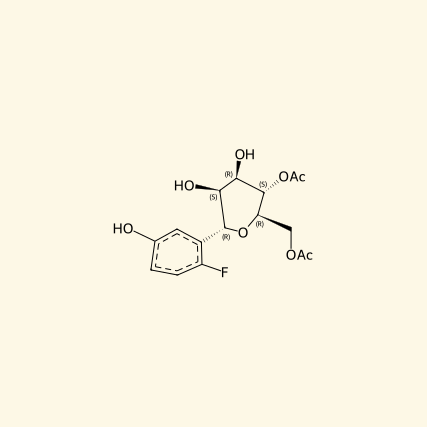 CC(=O)OC[C@H]1O[C@H](c2cc(O)ccc2F)[C@@H](O)[C@@H](O)[C@@H]1OC(C)=O